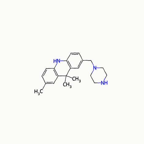 Cc1ccc2c(c1)C(C)(C)c1cc(CN3CCNCC3)ccc1N2